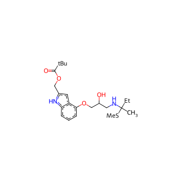 CCC(C)(NCC(O)COc1cccc2[nH]c(COC(=O)C(C)(C)C)cc12)SC